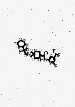 O=C(Nc1cc(F)cc(C(F)F)c1)C1CCC2(CC1)CN(CC(F)(F)C1CCCCC1)C2